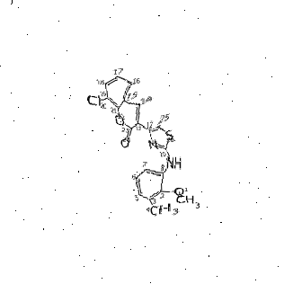 COc1c(C)cccc1Nc1nc(-c2cc3cccc(Cl)c3oc2=O)cs1